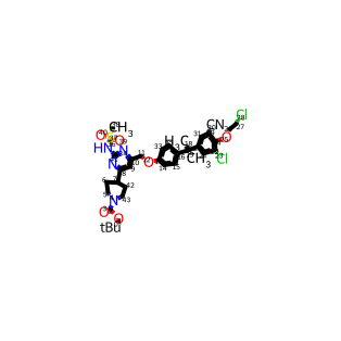 CC(C)(C)OC(=O)N1CCC(c2cc(COc3ccc(C(C)(C)c4cc(Cl)c(OCCCl)c(C#N)c4)cc3)nc(NS(C)(=O)=O)n2)CC1